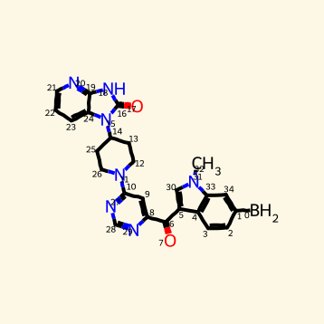 Bc1ccc2c(C(=O)c3cc(N4CCC(n5c(=O)[nH]c6ncccc65)CC4)ncn3)cn(C)c2c1